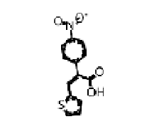 O=C(O)C(=Cc1cccs1)c1ccc([N+](=O)[O-])cc1